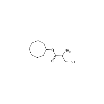 NC(CS)C(=O)OC1CCCCCCC1